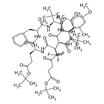 COc1ccc(NC(=O)C(=O)C(CC(F)(F)F)NC(=O)[C@H](CC(C)C)NC(=O)[C@@H](NC(=O)[C@H](Cc2ccccc2C)NC(=O)[C@H](CCC(=O)OC(C)(C)C)NC(=O)[C@H](CC(=O)OC(C)(C)C)NC(=O)CCC(=O)OC(C)(C)C)C(C)(C)C)c(C)c1